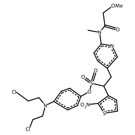 COCC(=O)N(C)c1ccc(CC(c2ccsc2[N+](=O)[O-])S(=O)(=O)Oc2ccc(N(CCCl)CCCl)cc2)cn1